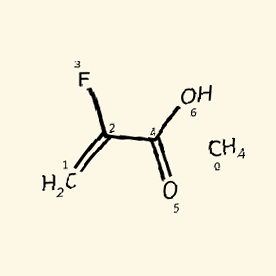 C.C=C(F)C(=O)O